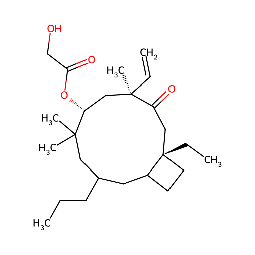 C=C[C@]1(C)C[C@@H](OC(=O)CO)C(C)(C)CC(CCC)CC2CC[C@@]2(CC)CC1=O